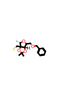 C[C@@H]1OC(COCc2ccccc2)[C@@H]2OC(C)(C)OC12CF